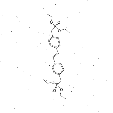 CCOP(=O)(Cc1ccc(/C=C/c2ccc(CP(=O)(OCC)OCC)cc2)cc1)OCC